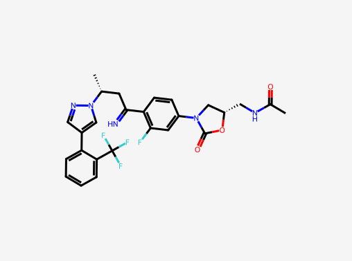 CC(=O)NC[C@H]1CN(c2ccc(C(=N)C[C@@H](C)n3cc(-c4ccccc4C(F)(F)F)cn3)c(F)c2)C(=O)O1